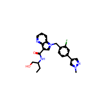 CCC(CO)NC(=O)c1cn(Cc2ccc(-c3cnn(C)c3)cc2F)c2cccnc12